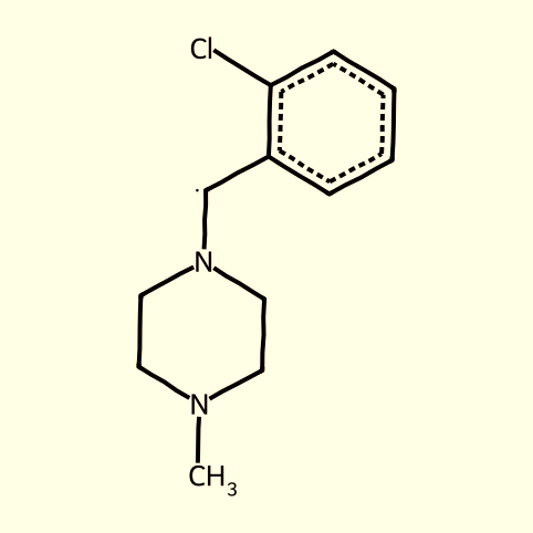 CN1CCN([CH]c2ccccc2Cl)CC1